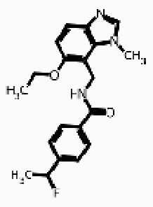 CCOc1ccc2ncn(C)c2c1CNC(=O)c1ccc(C(C)F)cc1